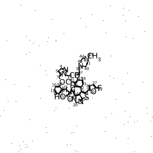 CCn1nccc1COc1ccccc1CC(Nc1ncnc2sc(-c3ccc(F)o3)c(-c3ccc(OCCN4CCN(C)CC4)c(Cl)c3C)c12)C(=O)O